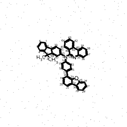 CC1(C)c2ccccc2-c2ccc(N(c3ccc(-c4cccc5c4oc4ccccc45)cc3)c3nc4ccccc4c4ccccc34)cc21